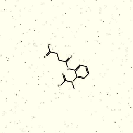 CC(C)C(=O)CCC(=O)Oc1ccccc1N(C)C(=O)C(C)C